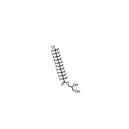 O=C(OCC(O)CO)C(F)(F)C(F)(F)C(F)(F)C(F)(F)C(F)(F)C(F)(F)C(F)(F)C(F)(F)C(F)(F)C(F)(F)C(F)(F)F